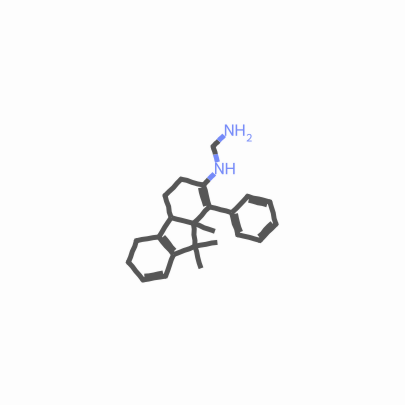 CC1(C)C2=C(CCC=C2)C2CCC(NCN)=C(c3ccccc3)C21C